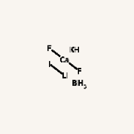 [BiH3].[F][Ca][F].[KH].[Li][I]